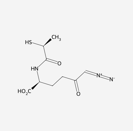 C[C@H](S)C(=O)N[C@@H](CCC(=O)C=[N+]=[N-])C(=O)O